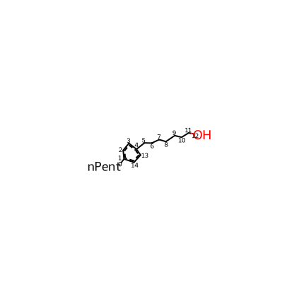 CCCCCc1ccc(CCCCCCCO)cc1